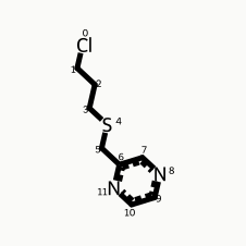 ClCCCSCc1cnccn1